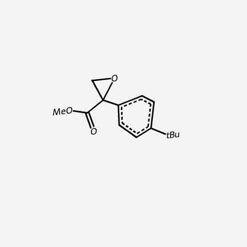 COC(=O)C1(c2ccc(C(C)(C)C)cc2)CO1